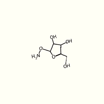 NOC1OC(CO)C(O)C1O